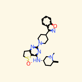 C=C1CC[C@H](Nc2nc(N3CCC(c4noc5ccccc45)CC3)nc3c2[S+]([O-])CC3)CN1C